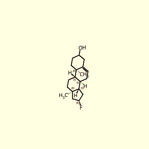 C[C@]12CC[C@H]3[C@@H](CC=C4CC(O)CC[C@@]43C)[C@@H]1C[C@@H](F)C2